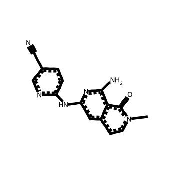 Cn1ccc2cc(Nc3ccc(C#N)cn3)nc(N)c2c1=O